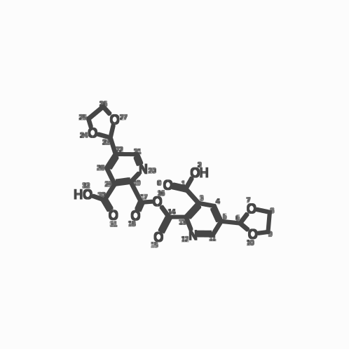 O=C(O)c1cc(C2OCCO2)cnc1C(=O)OC(=O)c1ncc(C2OCCO2)cc1C(=O)O